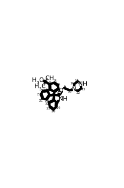 CC(C)(C)c1ccc(OCCN2CCNCC2)c(C2(c3ccccc3)C(=O)Nc3ccccc32)c1